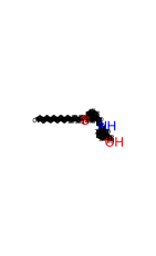 CCCCCCCCCCCCCCOc1cccc(CCNc2cccc(CO)c2)c1